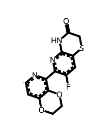 O=C1CSc2cc(F)c(-c3n[c]cc4c3OCCO4)nc2N1